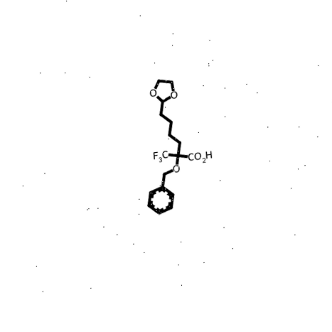 O=C(O)C(CCCCC1OCCO1)(OCc1ccccc1)C(F)(F)F